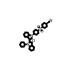 N#Cc1ccc(S(=O)(=O)c2ccc(-n3c4ccccc4c4c3oc3c5ccccc5n(-c5ccccc5)c34)cc2)cc1